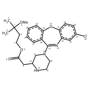 COC(C)(C)CCOC(=O)CC1CN(C2=Nc3cc(Cl)ccc3Oc3ccccc32)CCN1